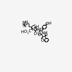 Cn1nnnc1SCC1=C(C(=O)O)N2C(=O)[C@@H](NC(=O)C(NC(=O)c3coc4ccccc4c3=O)c3ccc(O)cc3)[C@@H]2SC1